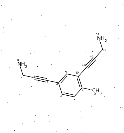 Cc1ccc(C#CCN)cc1C#CCN